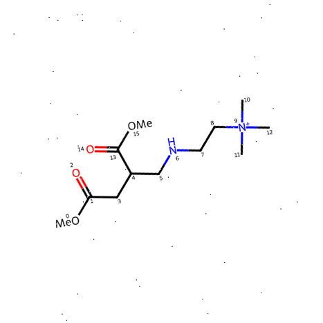 COC(=O)CC(CNCC[N+](C)(C)C)C(=O)OC